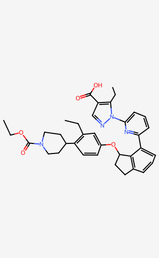 CCOC(=O)N1CCC(c2ccc(OC3CCc4cccc(-c5cccc(-n6ncc(C(=O)O)c6CC)n5)c43)cc2CC)CC1